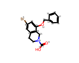 O=C(O)N1CCc2cc(Br)cc(OCc3ccccc3)c2C1